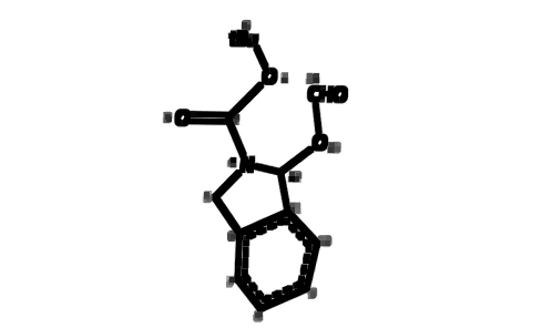 CC(C)(C)OC(=O)N1Cc2ccccc2C1OC=O